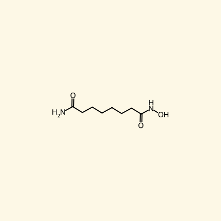 NC(=O)CCCCCCC(=O)NO